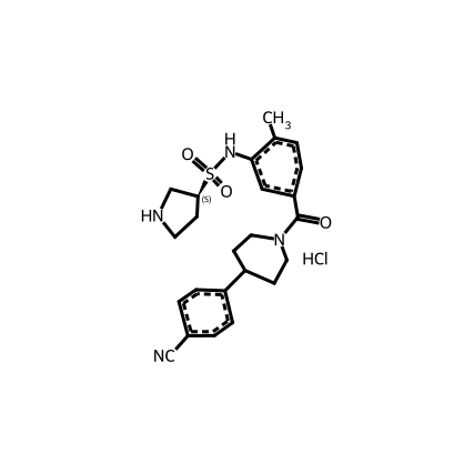 Cc1ccc(C(=O)N2CCC(c3ccc(C#N)cc3)CC2)cc1NS(=O)(=O)[C@H]1CCNC1.Cl